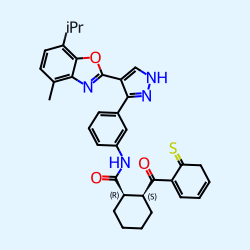 Cc1ccc(C(C)C)c2oc(-c3c[nH]nc3-c3cccc(NC(=O)[C@@H]4CCCC[C@@H]4C(=O)C4=CC=CCC4=S)c3)nc12